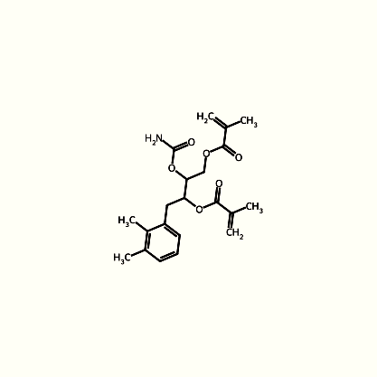 C=C(C)C(=O)OCC(OC(N)=O)C(Cc1cccc(C)c1C)OC(=O)C(=C)C